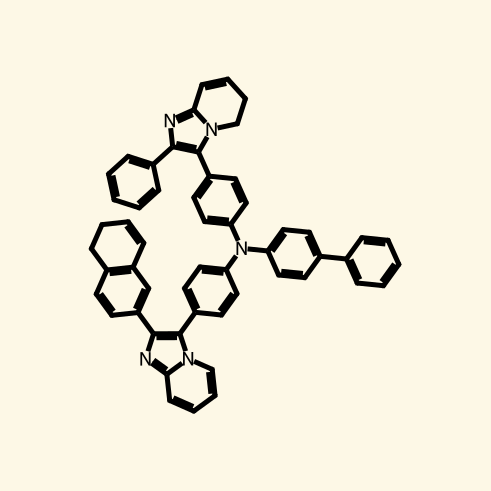 C1=Cc2cc(-c3nc4ccccn4c3-c3ccc(N(c4ccc(-c5ccccc5)cc4)c4ccc(-c5c(-c6ccccc6)nc6n5CCC=C6)cc4)cc3)ccc2CC1